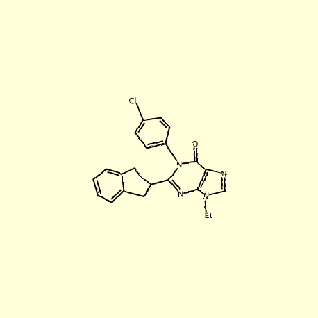 CCn1cnc2c(=O)n(-c3ccc(Cl)cc3)c(C3Cc4ccccc4C3)nc21